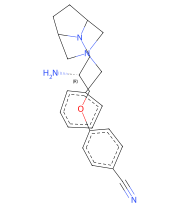 N#Cc1ccc(OC[C@H](N)CN2C3CCC2CN(Cc2ccccc2)C3)cc1